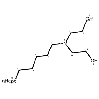 CCCCCCCCCCCCN(CCO)CCO